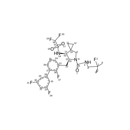 CC(F)(F)CNC(=O)N1CC2(CC2)[C@H](NS(=O)(=O)C(F)F)[C@@H]1Cc1cccc(-c2cc(F)cc(F)c2)c1F